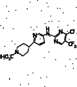 O=C(O)N1CCC(c2ccc(Nc3ncc(C(F)(F)F)c(Cl)n3)cn2)CC1